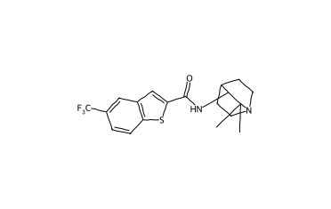 CC1(C)C(NC(=O)c2cc3cc(C(F)(F)F)ccc3s2)C2CCN1CC2